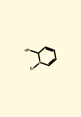 CCCC1C=CC=CN1CC